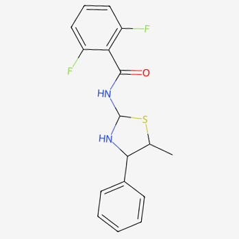 CC1SC(NC(=O)c2c(F)cccc2F)NC1c1ccccc1